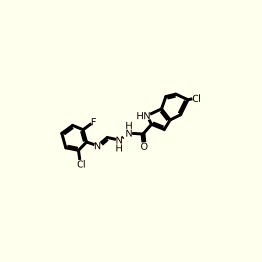 O=C(NNC=Nc1c(F)cccc1Cl)c1cc2cc(Cl)ccc2[nH]1